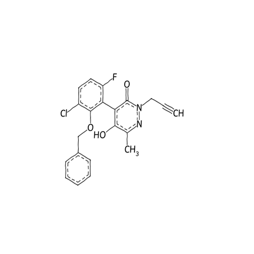 C#CCn1nc(C)c(O)c(-c2c(F)ccc(Cl)c2OCc2ccccc2)c1=O